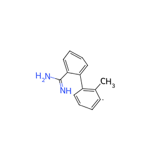 Cc1[c]cccc1-c1ccccc1C(=N)N